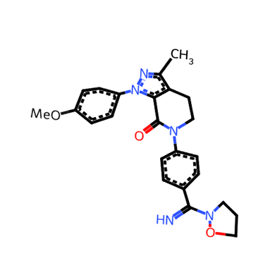 COc1ccc(-n2nc(C)c3c2C(=O)N(c2ccc(C(=N)N4CCCO4)cc2)CC3)cc1